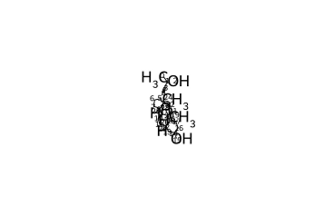 CC(O)C#C[C@H]1CC[C@H]2[C@@H]3CC[C@H]4C[C@H](O)CC[C@]4(C)[C@H]3CC[C@]12C